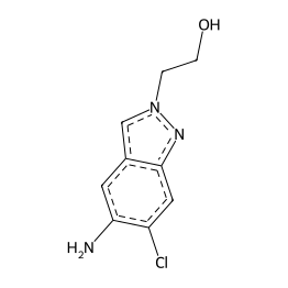 Nc1cc2cn(CCO)nc2cc1Cl